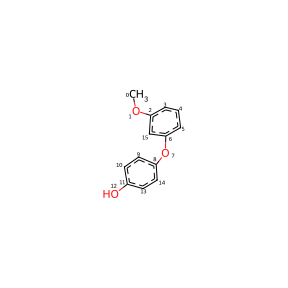 COc1cccc(Oc2ccc(O)cc2)c1